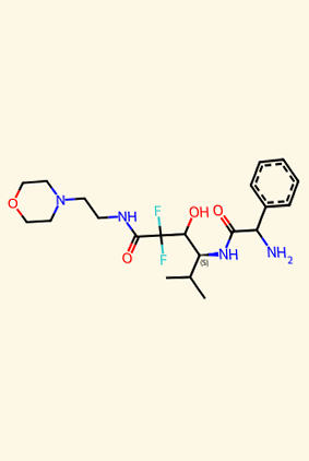 CC(C)[C@H](NC(=O)C(N)c1ccccc1)C(O)C(F)(F)C(=O)NCCN1CCOCC1